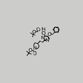 CC(C)(C)OC(=O)N1CCC(CCc2ncc(OCc3ccccc3)c(O)n2)CC1.CC(C)(C)OC=O